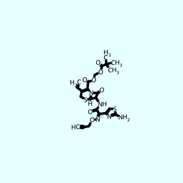 C#CCO/N=C(\C(=O)NC1C(=O)N2C(C(=O)OCOC(=O)C(C)(C)C)=C(C=C)CS[C@H]12)c1csc(N)n1